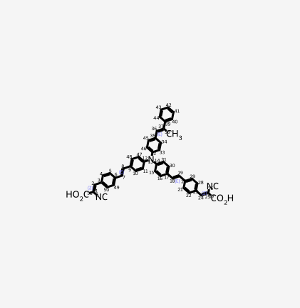 [C-]#[N+]/C(=C\c1ccc(/C=C/c2ccc(N(c3ccc(/C=C/c4ccc(/C=C(\[N+]#[C-])C(=O)O)cc4)cc3)c3ccc(/C=C(\C)c4ccccc4)cc3)cc2)cc1)C(=O)O